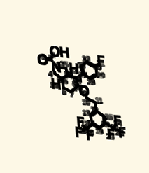 O=C(O)N1C[C@H]2CC[C@@H](OCCc3cc(C(F)(F)F)cc(C(F)(F)F)c3)[C@H](c3ccc(F)cc3)[C@H]2C1